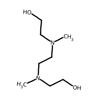 CN(CCO)CCN(C)CCO